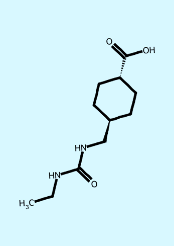 CCNC(=O)NC[C@H]1CC[C@H](C(=O)O)CC1